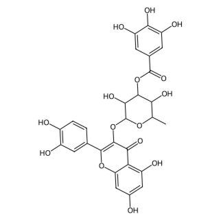 CC1OC(Oc2c(-c3ccc(O)c(O)c3)oc3cc(O)cc(O)c3c2=O)C(O)C(OC(=O)c2cc(O)c(O)c(O)c2)C1O